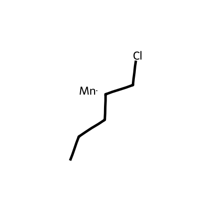 CCCCCCl.[Mn]